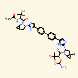 COC(=O)N[C@H](C(=O)N1C(c2ncc(-c3ccc(-c4ccc(-c5cnc([C@@H]6C[C@@H]7CC7N6C(=O)[C@@H](OC(N)=O)C(C)(C)O)[nH]5)cc4)cc3)[nH]2)CC2CC21)C(C)(C)O